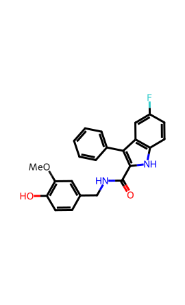 COc1cc(CNC(=O)c2[nH]c3ccc(F)cc3c2-c2ccccc2)ccc1O